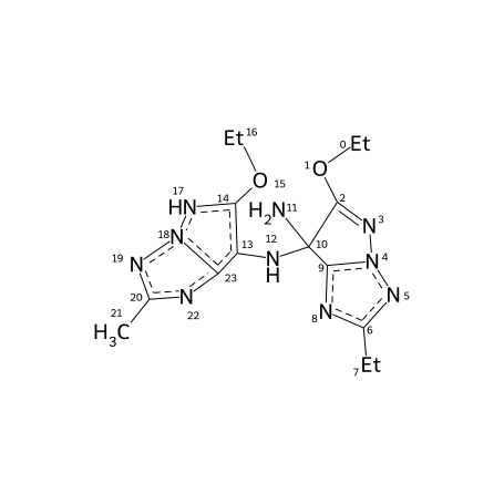 CCOC1=Nn2nc(CC)nc2C1(N)Nc1c(OCC)[nH]n2nc(C)nc12